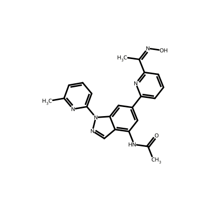 CC(=O)Nc1cc(-c2cccc(/C(C)=N\O)n2)cc2c1cnn2-c1cccc(C)n1